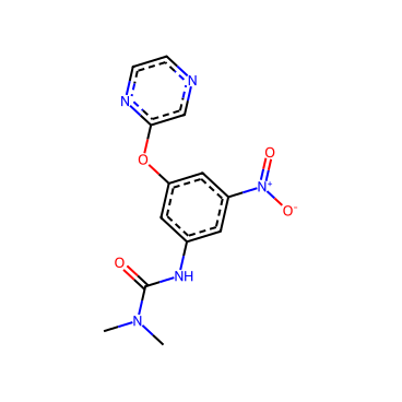 CN(C)C(=O)Nc1cc(Oc2cnccn2)cc([N+](=O)[O-])c1